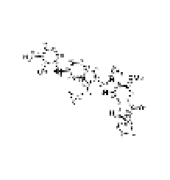 COc1cc(C(=O)N2CC3CCC2[C@@H]3C)cc2nc(-c3cc4ccc(Nc5ccnc(C)c5Cl)nc4n3CC3CC3)n(C)c12